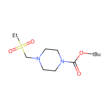 CCS(=O)(=O)CN1CCN(C(=O)OC(C)(C)C)CC1